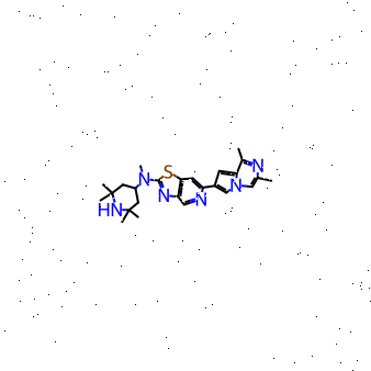 Cc1cn2cc(-c3cc4sc(N(C)C5CC(C)(C)NC(C)(C)C5)nc4cn3)cc2c(C)n1